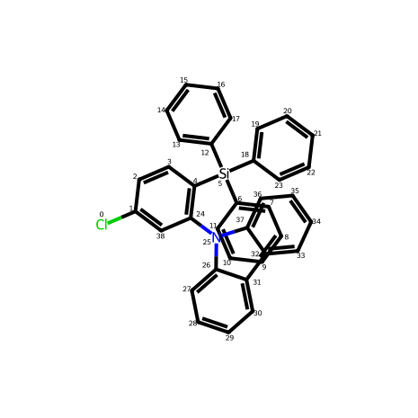 Clc1ccc([Si](c2ccccc2)(c2ccccc2)c2ccccc2)c(-n2c3ccccc3c3ccccc32)c1